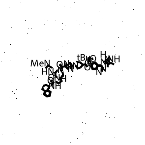 CN[C@@H](C)CN[C@H]1CN(C(=O)c2cnc(N3CCC(COc4cc5ncnc(Nc6n[nH]c(C)c6C)c5cc4S(=O)(=O)C(C)(C)C)CC3)cn2)CC[C@H]2CC[C@@H](C(=O)N[C@@H]3CCCc4ccccc43)N2C1=O